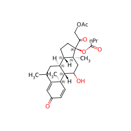 CCCC(=O)O[C@]1(C(=O)COC(C)=O)CC[C@H]2[C@@H]3CC(C)C4=CC(=O)C=C[C@]4(C)[C@H]3C(O)C[C@@]21C